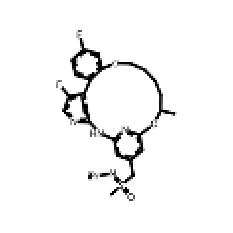 CC(C)N=S(C)(=O)Cc1cc2nc(c1)OC(C)CCCCOc1cc(F)ccc1-c1cc(ncc1F)N2